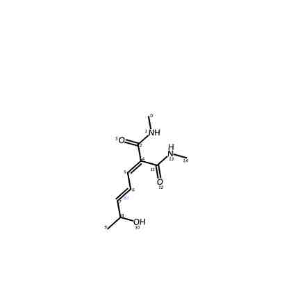 CNC(=O)C(=C/C=C/C(C)O)C(=O)NC